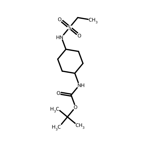 CCS(=O)(=O)NC1CCC(NC(=O)OC(C)(C)C)CC1